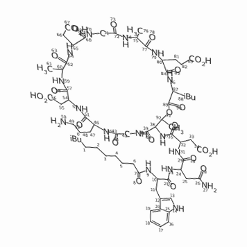 CCC(C)CCCCCCC(=O)NC(Cc1c[nH]c2ccccc12)C(=O)NC(CC(N)=O)C(=O)NC(CC(=O)O)C(=O)NC1C(=O)NCC(=O)NC(CCCN)C(=O)NC(CC(=O)O)C(=O)NC(C)C(=O)NC(CC(=O)O)C(=O)NCC(=O)NC(C)C(=O)NC(CCC(=O)O)C(=O)NC(C(C)CC)C(=O)OC1C